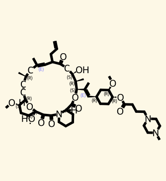 C=CCC1/C=C(\C)C[C@H](C)CC[C@H]2O[C@@](O)(C(=O)C(=O)N3CCCC[C@H]3C(=O)O[C@H](/C(C)=C/[C@@H]3CC[C@@H](OC(=O)CCCN4CCN(C)CC4)[C@H](OC)C3)[C@H](C)[C@@H](O)CC1=O)[C@H](C)C[C@@H]2OC